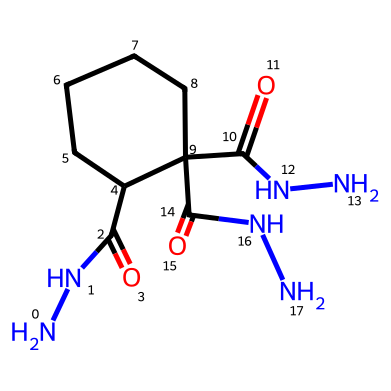 NNC(=O)C1CCCCC1(C(=O)NN)C(=O)NN